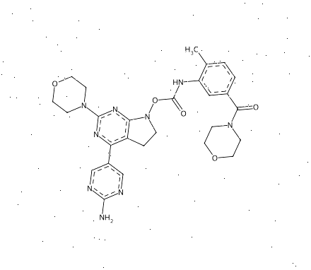 Cc1ccc(C(=O)N2CCOCC2)cc1NC(=O)ON1CCc2c(-c3cnc(N)nc3)nc(N3CCOCC3)nc21